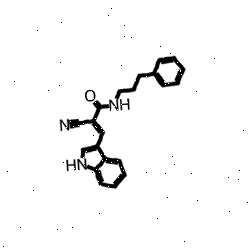 N#C/C(=C\c1c[nH]c2ccccc12)C(=O)NCCCc1ccccc1